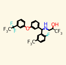 O[C@H](CNC(c1cccc(Oc2cccc(C(F)(F)C(F)(F)F)c2)c1)c1cc(C(F)(F)F)ccc1F)C(F)(F)F